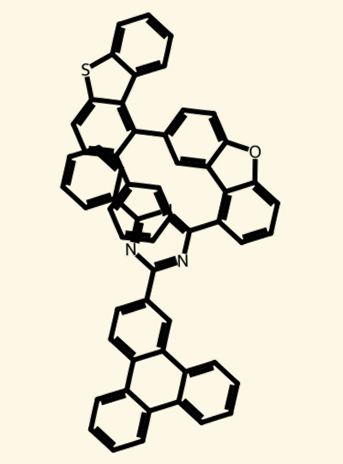 c1ccc(-c2nc(-c3ccc4c5ccccc5c5ccccc5c4c3)nc(-c3cccc4oc5ccc(-c6c(-c7ccccc7)ccc7sc8ccccc8c67)cc5c34)n2)cc1